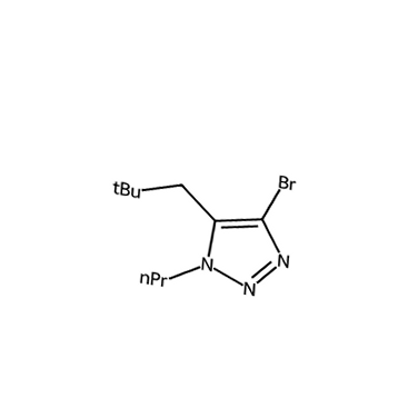 CCCn1nnc(Br)c1CC(C)(C)C